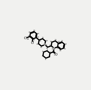 O=C(C1CCCCC1)N1c2ccccc2CCC1CN1CCC(c2cccc(Cl)c2Cl)CC1